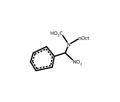 CCCCCCCCN(C(=O)O)C(c1ccccc1)[N+](=O)[O-]